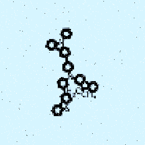 CC1(C)c2ccccc2-c2ccc(N(c3ccc(-c4ccc5c(c4)c4ccccc4n5-c4ccccc4)cc3)c3cccc(-c4ccc5sc6ccccc6c5c4)c3)cc21